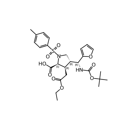 CCOC(=O)C[C@@H]1[C@@H]([C@@H](NC(=O)OC(C)(C)C)c2ccco2)CN(S(=O)(=O)c2ccc(C)cc2)[C@@H]1C(=O)O